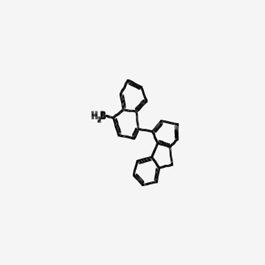 Bc1ccc(-c2cccc3c2-c2ccccc2C3)c2ccccc12